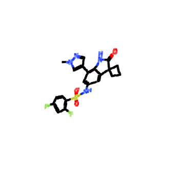 Cn1cc(-c2cc(NS(=O)(=O)c3ccc(F)cc3F)cc3c2NC(=O)C32CCC2)cn1